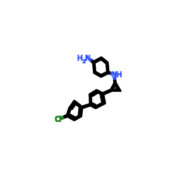 NC1CCC(NC2CC2c2ccc(-c3ccc(Cl)cc3)cc2)CC1